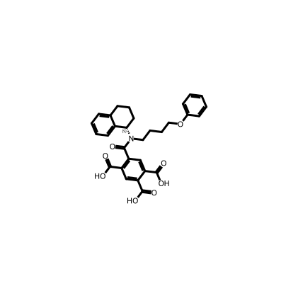 O=C(O)c1cc(C(=O)O)c(C(=O)N(CCCCOc2ccccc2)[C@H]2CCCc3ccccc32)cc1C(=O)O